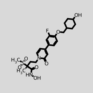 C[C@@](CCn1ccc(-c2ccc(OCC3CCC(O)CC3)c(F)c2)cc1=O)(C(=O)NO)S(C)(=O)=O